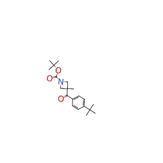 CC(C)(C)OC(=O)N1CC(C)(C(=O)c2ccc(C(C)(C)C)cc2)C1